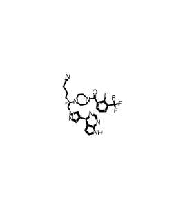 N#CCCC[C@H](Cn1cc(-c2ncnc3[nH]ccc23)cn1)N1CCN(C(=O)c2cccc(C(F)(F)F)c2F)CC1